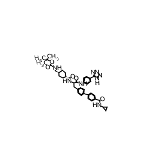 CC(C)(C)OC(=O)NC[C@H]1CC[C@H](C(=O)NC(Cc2ccc(-c3ccc(C(=O)NC4CC4)cc3)cc2)C(=O)Nc2ccc(-c3nnn[nH]3)cc2)CC1